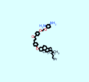 CC(C)CCC[C@@H](C)[C@H]1CCC2C3CC=C4CC(Oc5ccc(C=CC(=O)c6ccc(OCCOc7ccc(N)cc7N)cc6)cc5)CC[C@]4(C)C3CC[C@@]21C